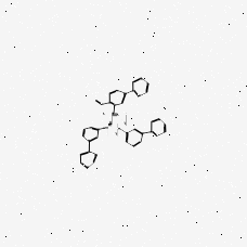 C=Cc1ccc(-c2ccccc2)cc1-c1nc(-c2cccc(-c3ccccc3)c2)nc(-c2cccc(-c3ccccc3)c2)n1